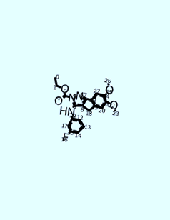 CCOC(=O)n1nc2c(c1Nc1cccc(F)c1)Cc1cc(OC)c(OC)cc1-2